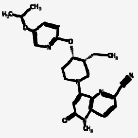 CC[C@@H]1CN(c2cc(=O)n(C)c3ccc(C#N)nc23)CC[C@@H]1Oc1ccc(OC(C)C)cn1